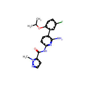 CC(C)Oc1ccc(F)cc1-c1ccc(NC(=O)c2ccnn2C)nc1N